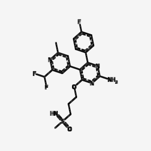 Cc1cc(-c2c(OCCCS(C)(=N)=O)nc(N)nc2-c2ccc(F)cc2)cc(C(F)F)n1